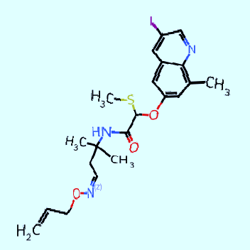 C=CCO/N=C\CC(C)(C)NC(=O)C(Oc1cc(C)c2ncc(I)cc2c1)SC